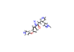 Cn1cc(-c2ccncc2C=CC(=O)Nc2ccc(Oc3ccncc3)cc2)cn1